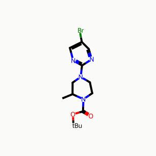 CC1CN(c2ncc(Br)cn2)CCN1C(=O)OC(C)(C)C